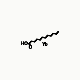 CCCCCCCCCCCC(=O)O.[Yb]